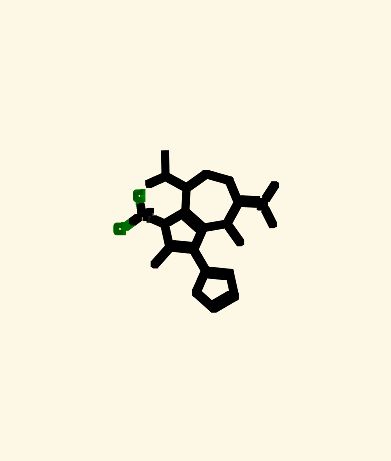 CC1=C(C2=CC=CC2)C2=C(C(C(C)C)CCC(=[Si](C)C)C2C)[CH]1[Hf]([Cl])[Cl]